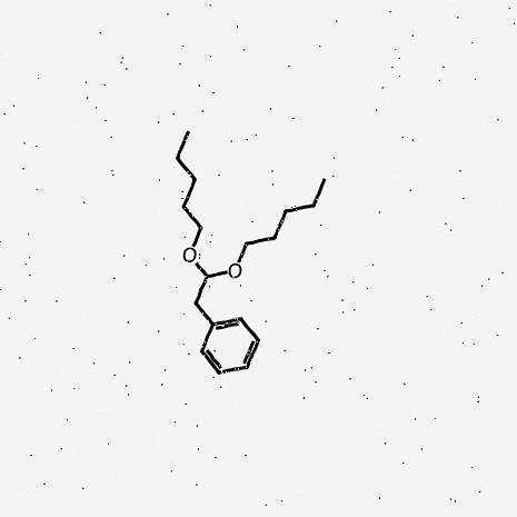 CCCCCOC(Cc1ccccc1)OCCCCC